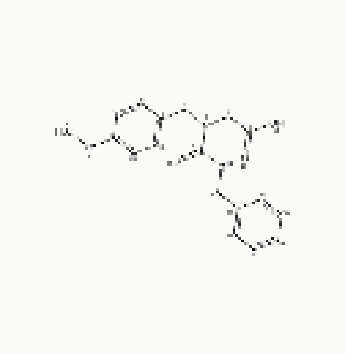 COc1ccc(CN(CC(=O)O)C(=O)OCc2ccccc2)cc1